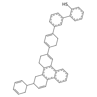 Sc1ccccc1-c1cccc(C2=CC=C(C3=Cc4c(c5c(c6ccccc46)C=CC(C4C=CC=CC4)C5)CC3)CC2)c1